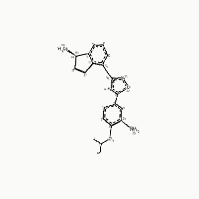 CC(C)Oc1ccc(-c2nc(-c3cccc4c3CC[C@H]4N)no2)cc1N